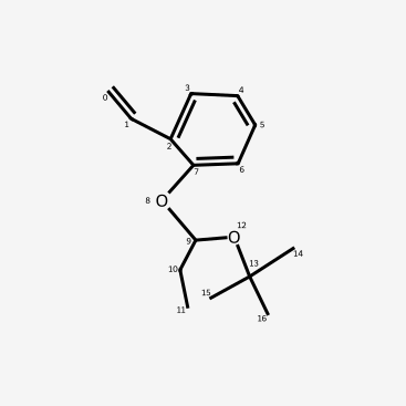 C=Cc1ccccc1OC(CC)OC(C)(C)C